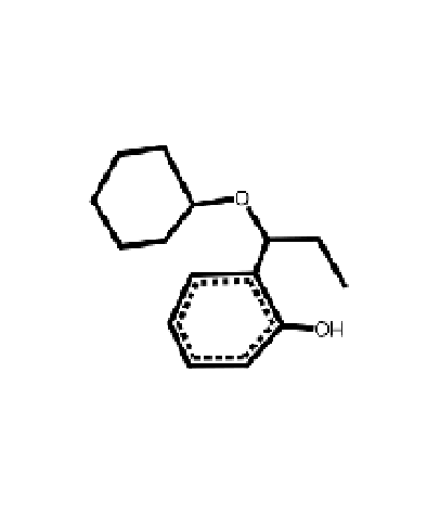 CCC(OC1CCCCC1)c1ccccc1O